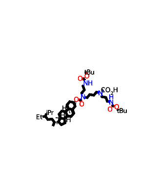 CCC(CCC(C)[C@H]1CC[C@H]2[C@@H]3CC=C4C[C@@H](OC(=O)N(CCCCN(CCCNC(=O)OC(C)(C)C)C(=O)O)CCCNC(=O)OC(C)(C)C)CC[C@]4(C)[C@H]3CC[C@]12C)C(C)C